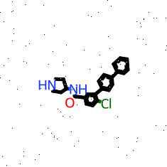 O=C(NC1CCNCC1)c1ccc(Cl)c(-c2ccc(-c3ccccc3)cc2)c1